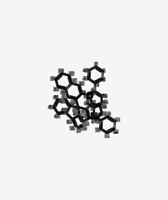 c1ccc(-c2ccc(N(c3ccccc3)c3cccc4c3C3(c5ccccc5Oc5cc6ccccc6cc53)c3ccccc3-4)cc2)cc1